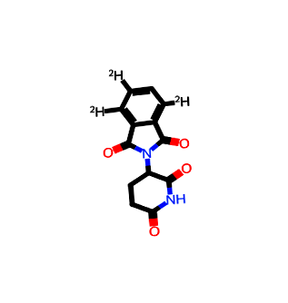 [2H]c1cc([2H])c2c(c1[2H])C(=O)N(C1CCC(=O)NC1=O)C2=O